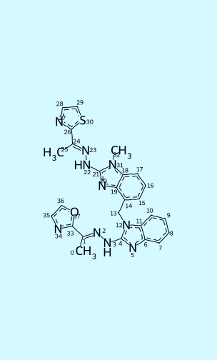 C/C(=N\Nc1nc2ccccc2n1Cc1cccc2c1nc(N/N=C(\C)c1nccs1)n2C)c1ncco1